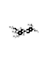 COCCOc1c(OC)c(OC)cc2[nH]c(N3CCc4cc(OC)c(OC)cc4C3)nc(=O)c12